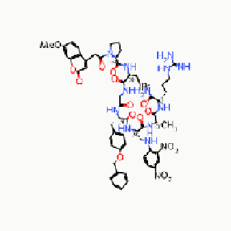 COc1ccc2c(CC(=O)N3CCC[C@H]3C(=O)N[C@@H](CC(C)C)C(=O)NCC(=O)N[C@@H](Cc3ccc(OCc4ccccc4)cc3)C(=O)N[C@@H](CNc3ccc([N+](=O)[O-])cc3[N+](=O)[O-])C(=O)N[C@@H](C)C(=O)N[C@@H](CCCNC(=N)N)C(N)=O)cc(=O)oc2c1